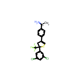 C[C@H](N)c1ccc(C2=CSC(c3cc(Cl)cc(Cl)c3)(C(F)(F)F)C2)cc1